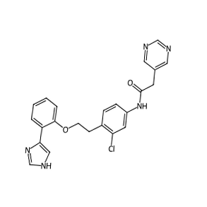 O=C(Cc1cncnc1)Nc1ccc(CCOc2ccccc2-c2c[nH]cn2)c(Cl)c1